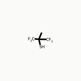 CC(S)(C(F)(F)F)C(F)(F)F